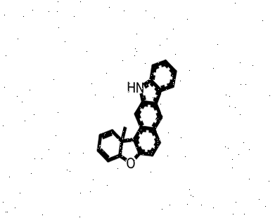 CC12C=CC=CC1Oc1ccc3cc4c(cc3c12)[nH]c1ccccc14